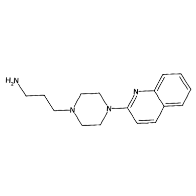 NCCCN1CCN(c2ccc3ccccc3n2)CC1